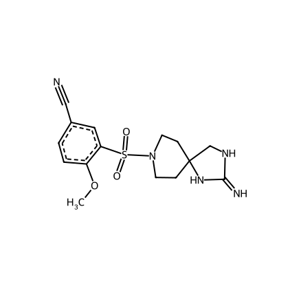 COc1ccc(C#N)cc1S(=O)(=O)N1CCC2(CC1)CNC(=N)N2